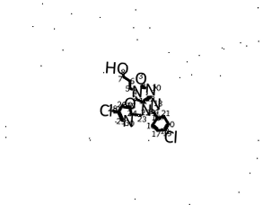 Cn1c(=O)n(CCCO)c(=O)c2c1nc(-c1ccc(Cl)cc1)n2Cc1ccc(Cl)cn1